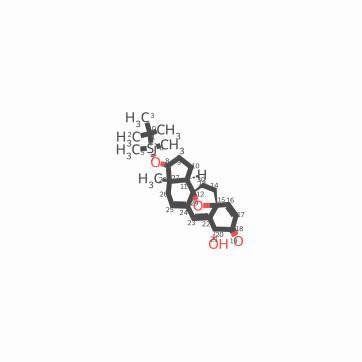 CC(C)(C)[Si](C)(C)OC1CC[C@H]2[C@@]34CC[C@]5(C=CC(=O)[C@H](O)C5=CC3=CC[C@]12C)O4